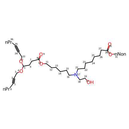 CCCC#CCOC(CCC(=O)OCCCCCCN(CCO)CCCCCCCC(=O)OCCCCCCCCC)OCC#CCCC